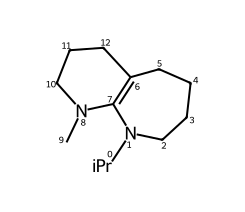 CC(C)N1CCCCC2=C1N(C)CCC2